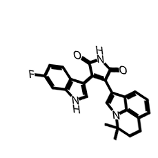 CC1(C)CCc2cccc3c(C4=C(c5c[nH]c6cc(F)ccc56)C(=O)NC4=O)cn1c23